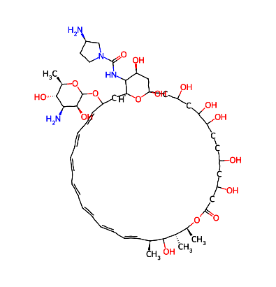 C[C@@H]1OC(=O)CC(O)CC(O)CCC(O)C(O)CC(O)CC2(O)C[C@H](O)C(NC(=O)N3CC[C@@H](N)C3)[C@H](CC(OC3O[C@H](C)[C@@H](O)[C@H](N)[C@@H]3O)/C=C/C=C/C=C/C=C/C=C/C=C/C=C/[C@H](C)C(O)[C@H]1C)O2